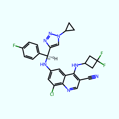 [2H][C@](Nc1cc(Cl)c2ncc(C#N)c(NC3CC(F)(F)C3)c2c1)(c1ccc(F)cc1)c1cn(C2CC2)nn1